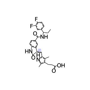 CCC(NC(=O)c1ccc2c(c1)/C(=C/c1[nH]c(C)c(CCC(=O)O)c1C)C(=O)N2)c1ccc(F)c(F)c1